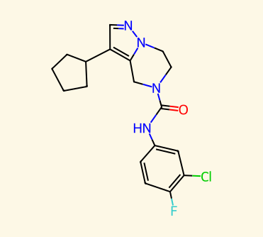 O=C(Nc1ccc(F)c(Cl)c1)N1CCn2ncc(C3CCCC3)c2C1